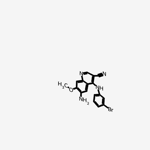 COc1cc2ncc(C#N)c(Nc3cccc(Br)c3)c2cc1N